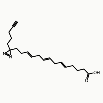 C#CCCCC1(CCC=CCC=CCC=CCCCC(=O)O)N=N1